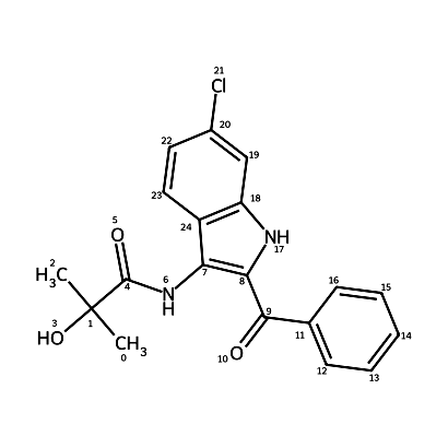 CC(C)(O)C(=O)Nc1c(C(=O)c2ccccc2)[nH]c2cc(Cl)ccc12